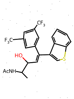 CC(=O)NC(C)C(O)C=C(c1cc(C(F)(F)F)cc(C(F)(F)F)c1)c1csc2ccccc12